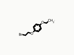 [CH2]COc1ccc(OCCBr)cc1